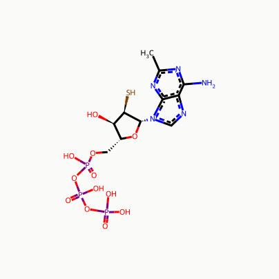 Cc1nc(N)c2ncn([C@@H]3O[C@H](COP(=O)(O)OP(=O)(O)OP(=O)(O)O)[C@@H](O)[C@H]3S)c2n1